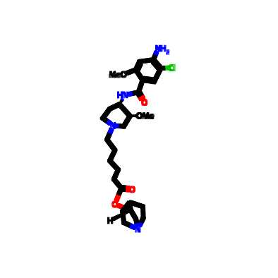 COc1cc(N)c(Cl)cc1C(=O)N[C@H]1CCN(CCCCCC(=O)O[C@H]2CN3CCC2CC3)C[C@H]1OC